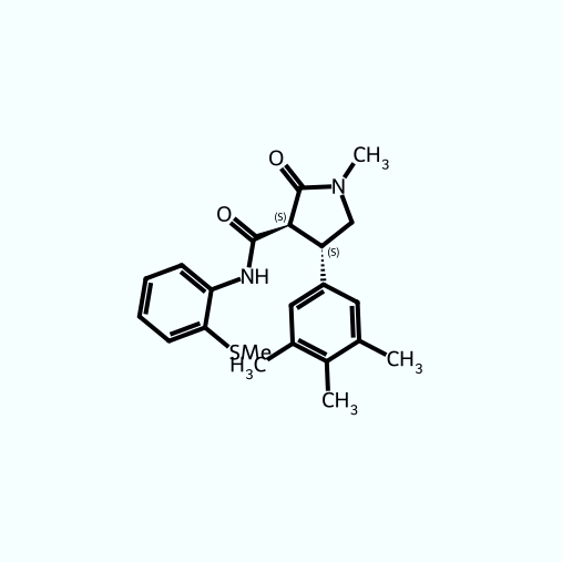 CSc1ccccc1NC(=O)[C@H]1C(=O)N(C)C[C@@H]1c1cc(C)c(C)c(C)c1